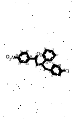 O=C(CC(Cc1ccc(Cl)cc1)c1ccccc1)c1ccc([N+](=O)[O-])cc1